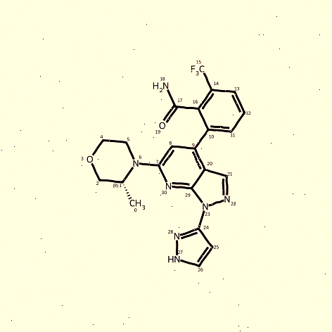 C[C@@H]1COCCN1c1cc(-c2cccc(C(F)(F)F)c2C(N)=O)c2cnn(-c3cc[nH]n3)c2n1